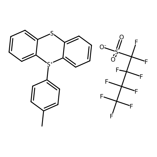 Cc1ccc([S+]2c3ccccc3Sc3ccccc32)cc1.O=S(=O)([O-])C(F)(F)C(F)(F)C(F)(F)C(F)(F)F